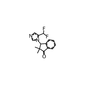 CC1(C)C(=O)c2ccccc2C1n1cncc1C(F)F